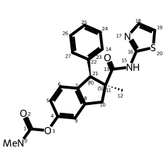 CNC(=O)Oc1ccc2c(c1)C[C@](C)(C(=O)Nc1nccs1)[C@@H]2c1ccccc1